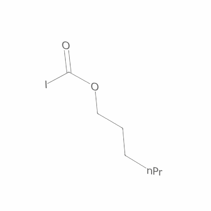 CCCCCCOC(=O)I